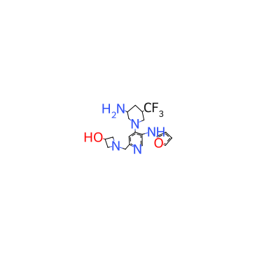 NC1CC(C(F)(F)F)CN(c2cc(CN3CC(O)C3)ncc2Nc2ccco2)C1